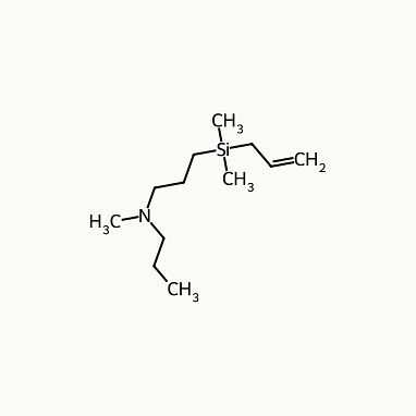 C=CC[Si](C)(C)CCCN(C)CCC